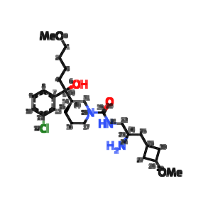 COCCCC[C@@](O)(c1cccc(Cl)c1)[C@@H]1CCCN(C(=O)NC[C@H](N)CC2CC(OC)C2)C1